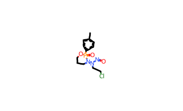 Cc1ccc(P2(=O)OCCCN2N(CCCl)N=O)cc1